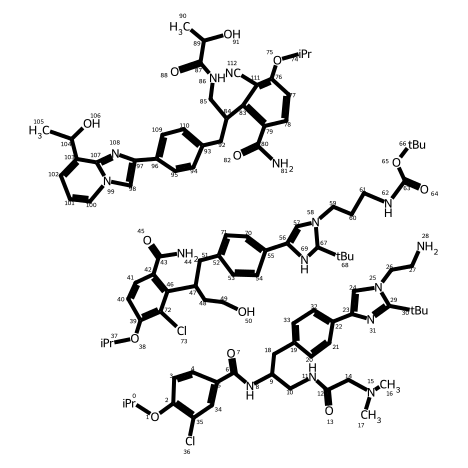 CC(C)Oc1ccc(C(=O)NC(CNC(=O)CN(C)C)Cc2ccc(-c3cn(CCN)c(C(C)(C)C)n3)cc2)cc1Cl.CC(C)Oc1ccc(C(N)=O)c(C(CCO)Cc2ccc(C3=CN(CCCNC(=O)OC(C)(C)C)C(C(C)(C)C)N3)cc2)c1Cl.CC(C)Oc1ccc(C(N)=O)c(C(CNC(=O)C(C)O)Cc2ccc(-c3cn4cccc(C(C)O)c4n3)cc2)c1C#N